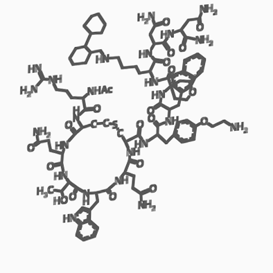 CC(=O)NC(CCCNC(=N)N)C(=O)NC1CCSCC(C(=O)NC(Cc2ccc(OCCN)cc2)C(=O)NC(Cc2ccc3ccccc3c2)C(=O)NC2(C(=O)NC(CCCCNCC3CCCCC3C3CCCCC3)C(=O)NC(CC(N)=O)C(=O)NC(CC(N)=O)C(N)=O)CCOCC2)NC(=O)C(CCC(N)=O)NC(=O)C(Cc2c[nH]c3ccccc23)NC(=O)C(C(C)O)NC(=O)C(CCC(N)=O)NC1=O